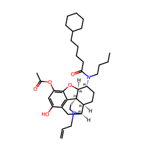 C=CCN1CC[C@]23c4c5c(O)cc(OC(C)=O)c4O[C@H]2[C@H](N(CCCC)C(=O)CCCCC2CCCCC2)CC[C@H]3[C@H]1C5